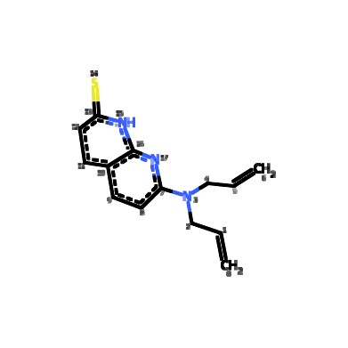 C=CCN(CC=C)c1ccc2ccc(=S)[nH]c2n1